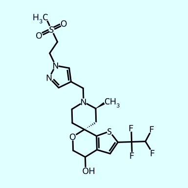 C[C@H]1C[C@@]2(CCN1Cc1cnn(CCS(C)(=O)=O)c1)OCC(O)c1cc(C(F)(F)C(F)F)sc12